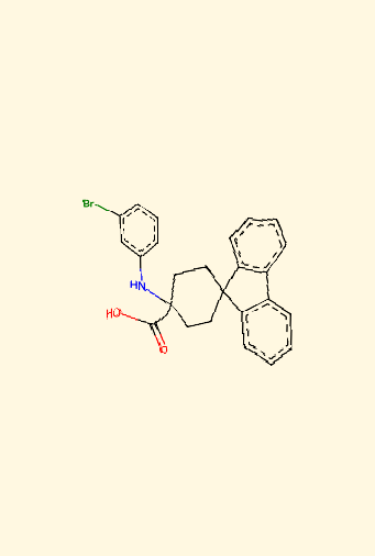 O=C(O)C1(Nc2cccc(Br)c2)CCC2(CC1)c1ccccc1-c1ccccc12